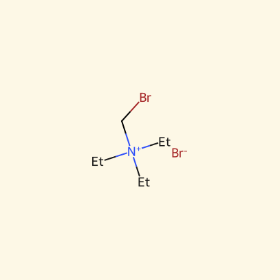 CC[N+](CC)(CC)CBr.[Br-]